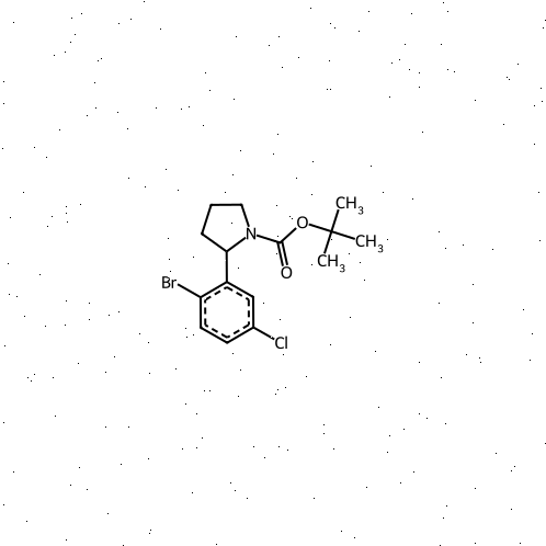 CC(C)(C)OC(=O)N1CCCC1c1cc(Cl)ccc1Br